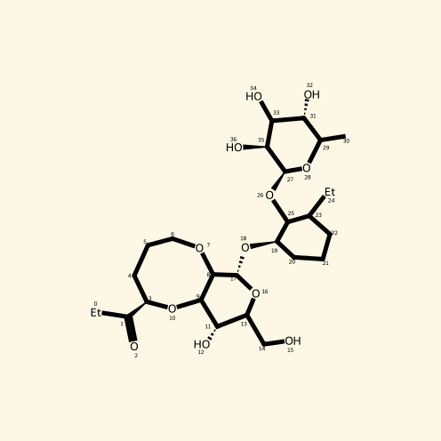 CCC(=O)[C@H]1CCCOC2C(O1)[C@@H](O)C(CO)O[C@H]2O[C@@H]1CCCC(CC)C1O[C@@H]1OC(C)[C@@H](O)C(O)[C@@H]1O